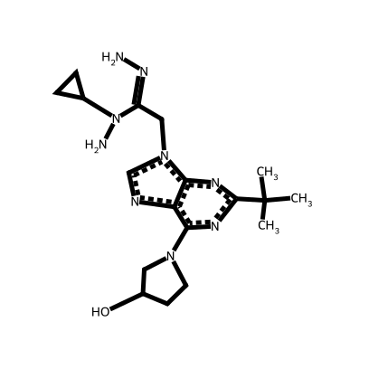 CC(C)(C)c1nc(N2CCC(O)C2)c2ncn(C/C(=N/N)N(N)C3CC3)c2n1